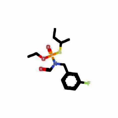 CCOP(=O)(SC(C)CC)N(C=O)Cc1cccc(F)c1